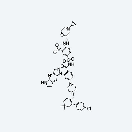 CC1(C)CCC(CN2CCN(c3ccc(C(=O)NS(=O)(=O)c4ccc(NC[C@H]5CN(C6CC6)CCO5)c([N+](=O)[O-])c4)c(-n4ncc5nc6[nH]ccc6cc54)c3)CC2)=C(c2ccc(Cl)cc2)C1